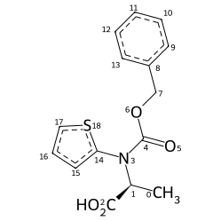 C[C@@H](C(=O)O)N(C(=O)OCc1ccccc1)c1cccs1